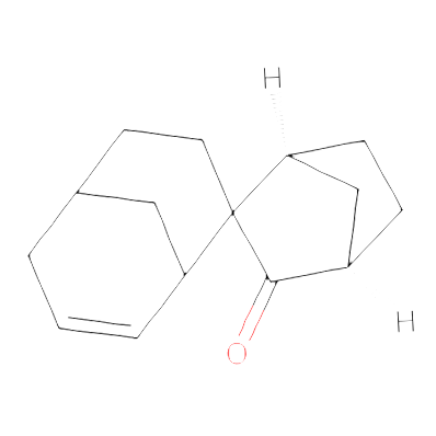 O=C1[C@@H]2CC[C@@H](C2)C12CCC1CC=CC2C1